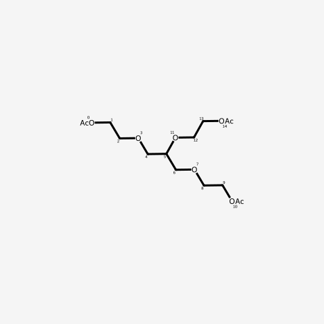 CC(=O)OCCOCC(COCCOC(C)=O)OCCOC(C)=O